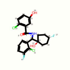 O=C(NC(c1cccc(F)c1Cl)[C@]1(O)CC[C@H](F)CC1)c1cc(O)ccc1Cl